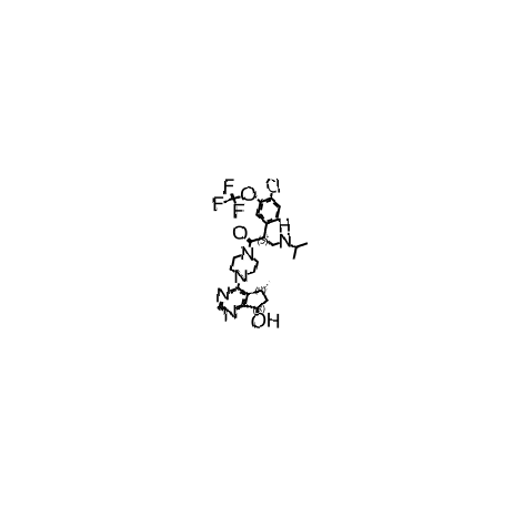 CC(C)NC[C@@H](C(=O)N1CCN(c2ncnc3c2[C@H](C)C[C@H]3O)CC1)c1ccc(Cl)c(OC(F)(F)F)c1